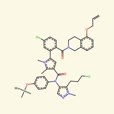 C=CCOc1cccc2c1CCN(C(=O)c1ccc(Cl)cc1-c1cc(C(=O)N(c3ccc(O[Si](C)(C)C(C)(C)C)cc3)c3cnn(C)c3CCCCl)c(C)n1C)C2